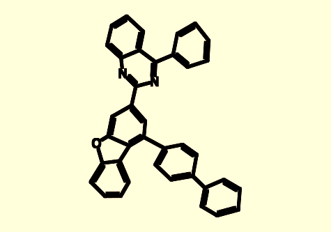 c1ccc(-c2ccc(-c3cc(-c4nc(-c5ccccc5)c5ccccc5n4)cc4oc5ccccc5c34)cc2)cc1